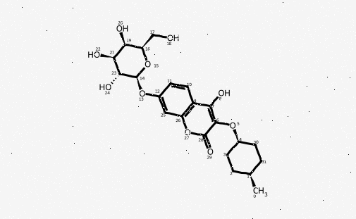 C[C@H]1CC[C@@H](Oc2c(O)c3ccc(O[C@@H]4O[C@H](CO)[C@H](O)[C@H](O)[C@H]4O)cc3oc2=O)CC1